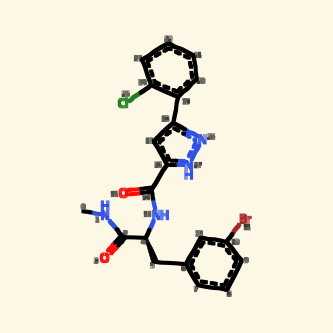 CNC(=O)[C@H](Cc1cccc(Br)c1)NC(=O)c1cc(-c2ccccc2Cl)n[nH]1